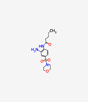 CCCCC(=O)Nc1ccc(S(=O)(=O)N2CCOCC2)cc1N